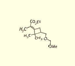 CCOC(=O)C(C)=C1CC(COCOC)C1(C)C